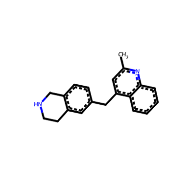 Cc1cc(Cc2ccc3c(c2)CCN[CH]3)c2ccccc2n1